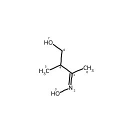 CC(=NO)C(C)CO